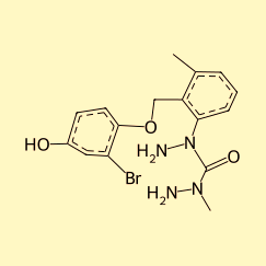 Cc1cccc(N(N)C(=O)N(C)N)c1COc1ccc(O)cc1Br